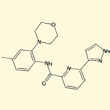 Cc1ccc(NC(=O)c2cccc(-c3cc[nH]n3)n2)c(N2CCOCC2)c1